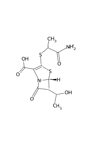 CC(SC1=C(C(=O)O)N2C(=O)C(C(C)O)[C@H]2S1)C(N)=O